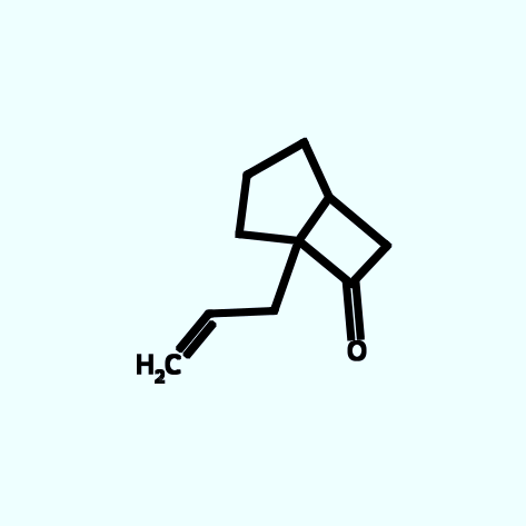 C=CCC12CCCC1CC2=O